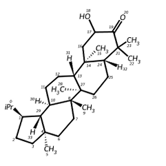 CC(C)[C@@H]1CC[C@]2(C)CC[C@]3(C)[C@H](CC[C@@H]4[C@@]5(C)CC(O)C(=O)C(C)(C)[C@@H]5CC[C@]43C)[C@@H]12